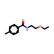 CCOCCNC(=O)c1ccc(C)cc1